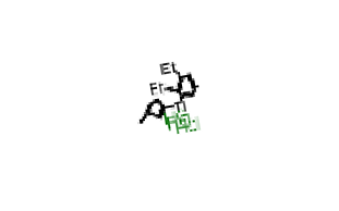 CCc1ccc[c]([Ti][C]2=CC(C)=CC2)c1CC.Cl.Cl.Cl